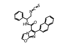 O=C(NC(CN=C=S)c1ccccc1)c1c(-c2ccc3ccccc3c2)nc2occn12